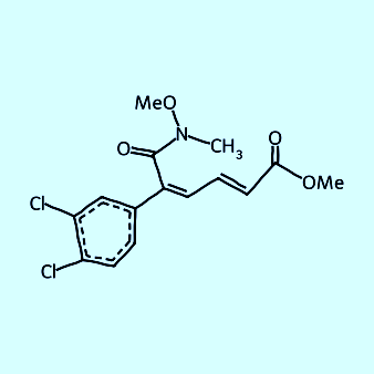 COC(=O)C=CC=C(C(=O)N(C)OC)c1ccc(Cl)c(Cl)c1